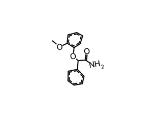 COc1ccccc1OC(C(N)=O)c1ccccc1